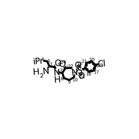 CC(C)C[C@H](N)C(=O)NC1CCCN(S(=O)(=O)c2ccc(Cl)cc2)CC1=O